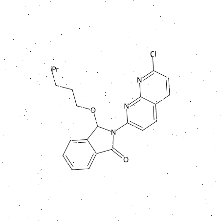 CC(C)CCCOC1c2ccccc2C(=O)N1c1ccc2ccc(Cl)nc2n1